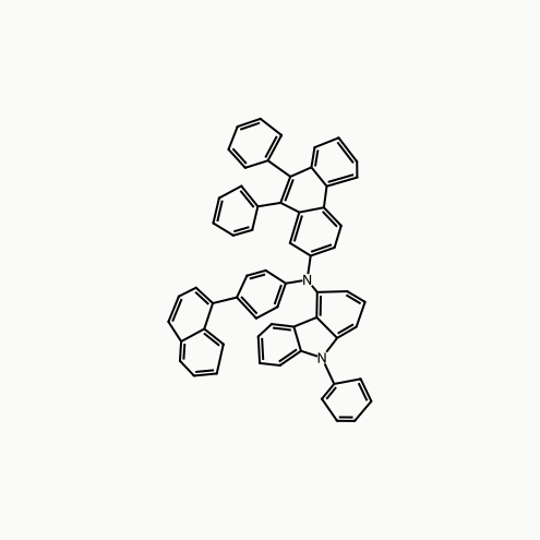 c1ccc(-c2c(-c3ccccc3)c3cc(N(c4ccc(-c5cccc6ccccc56)cc4)c4cccc5c4c4ccccc4n5-c4ccccc4)ccc3c3ccccc23)cc1